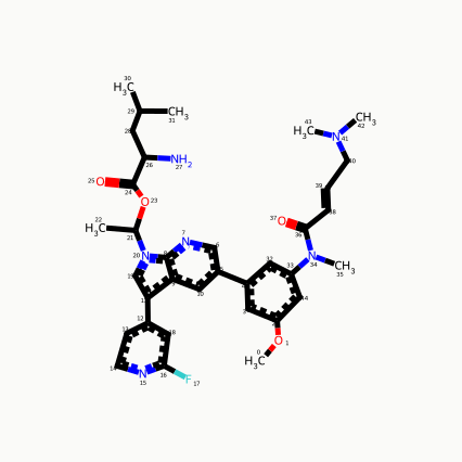 COc1cc(-c2cnc3c(c2)c(-c2ccnc(F)c2)cn3C(C)OC(=O)C(N)CC(C)C)cc(N(C)C(=O)/C=C/CN(C)C)c1